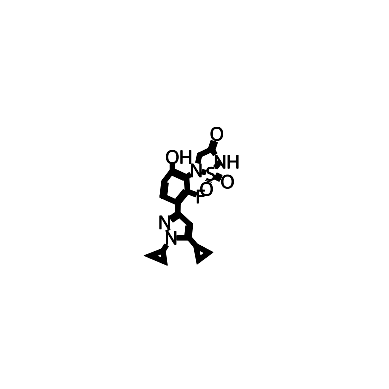 O=C1CN(c2c(O)ccc(-c3cc(C4CC4)n(C4CC4)n3)c2F)S(=O)(=O)N1